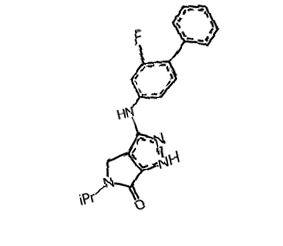 CC(C)N1Cc2c(Nc3ccc(-c4ccccc4)c(F)c3)n[nH]c2C1=O